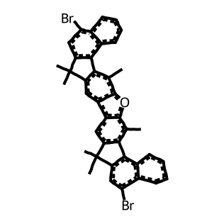 Cc1c2c(cc3c1oc1c(C)c4c(cc13)C(C)(C)c1cc(Br)c3ccccc3c1-4)C(C)(C)c1cc(Br)c3ccccc3c1-2